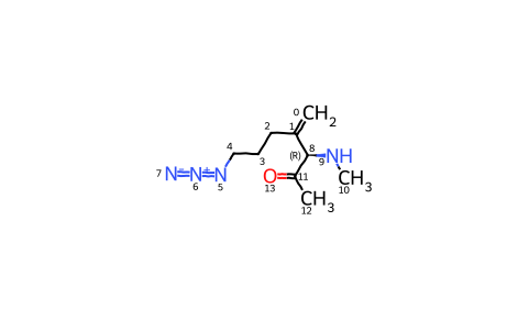 C=C(CCCN=[N+]=[N-])[C@@H](NC)C(C)=O